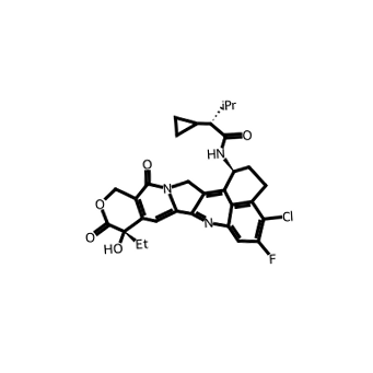 CC[C@@]1(O)C(=O)OCc2c1cc1n(c2=O)Cc2c-1nc1cc(F)c(Cl)c3c1c2[C@@H](NC(=O)[C@@H](C(C)C)C1CC1)CC3